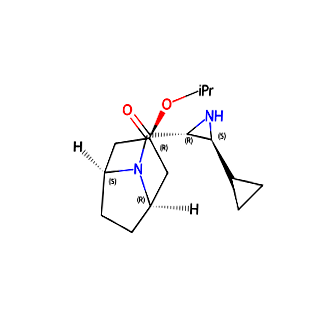 CC(C)O[C@H]1C[C@H]2CC[C@@H](C1)N2C(=O)[C@@H]1N[C@H]1C1CC1